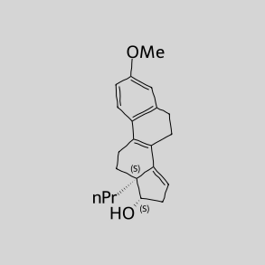 CCC[C@]12CCC3=C(CCc4cc(OC)ccc43)C1=CC[C@@H]2O